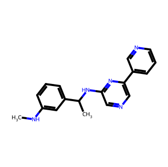 CNc1cccc(C(C)Nc2cncc(-c3cccnc3)n2)c1